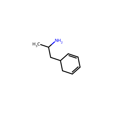 CC(N)CC1C=CC=CC1